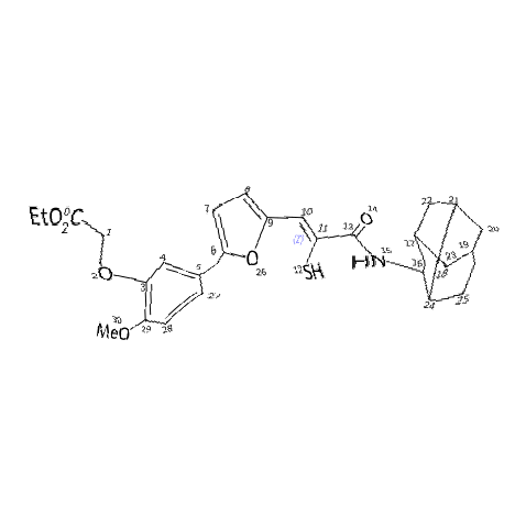 CCOC(=O)COc1cc(-c2ccc(/C=C(\S)C(=O)NC3C4CC5CC(C4)CC3C5)o2)ccc1OC